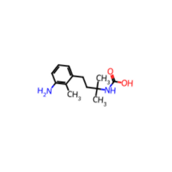 Cc1c(N)cccc1CCC(C)(C)NC(=O)O